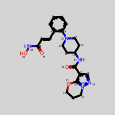 O=C(/C=C/c1ccccc1N1CCC(NC(=O)c2cnn3c2OCCC3)CC1)NO